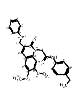 CCc1ccc(NC(=O)Cn2c(=O)c(CNc3ccccc3)cc3cc(OC)c(OC)cc32)cc1